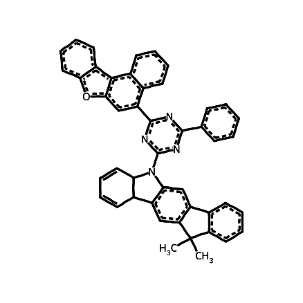 CC1(C)c2ccccc2-c2cc3c(cc21)C1C=CC=CC1N3c1nc(-c2ccccc2)nc(-c2cc3oc4ccccc4c3c3ccccc23)n1